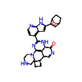 O=C1N=CC(C2CCC2)C2=C(N3CCNCC3)N=C(c3ccnc4[nH]c(C5CC6CCC5O6)cc34)NC12